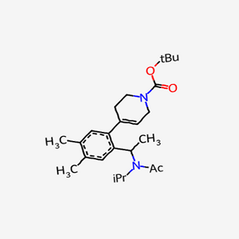 CC(=O)N(C(C)C)C(C)c1cc(C)c(C)cc1C1=CCN(C(=O)OC(C)(C)C)CC1